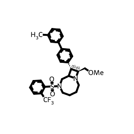 COC[C@@H]1[C@@H](c2ccc(-c3cccc(C)c3)cc2)C2CN(S(=O)(=O)c3ccccc3C(F)(F)F)CCCCN21